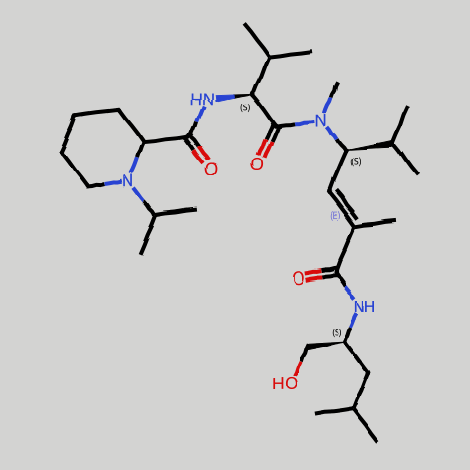 C/C(=C\[C@H](C(C)C)N(C)C(=O)[C@@H](NC(=O)C1CCCCN1C(C)C)C(C)C)C(=O)N[C@H](CO)CC(C)C